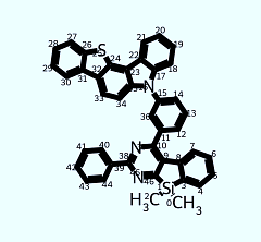 C[Si]1(C)c2ccccc2-c2c(-c3cccc(-n4c5ccccc5c5c6sc7ccccc7c6ccc54)c3)nc(-c3ccccc3)nc21